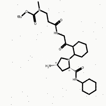 CN(CCC(=O)NCC(=O)C1CCCCC1N1C[C@@H](N)C[C@H]1C(=O)NC1CCCCC1)C(=O)OC(C)(C)C